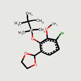 COc1c(Br)ccc(C2OCCO2)c1O[Si](C)(C)C(C)(C)C